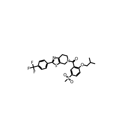 CC(C)COc1ccc(S(C)(=O)=O)cc1C(=O)N1CCc2nc(-c3ccc(C(F)(F)F)cc3)sc2C1